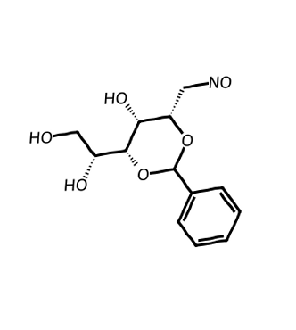 O=NC[C@@H]1OC(c2ccccc2)O[C@H]([C@H](O)CO)[C@@H]1O